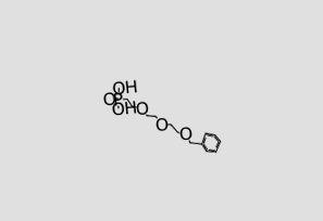 O=P(O)(O)CCOCCOCCOCc1ccccc1